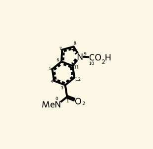 CNC(=O)c1ccc2ccn(C(=O)O)c2c1